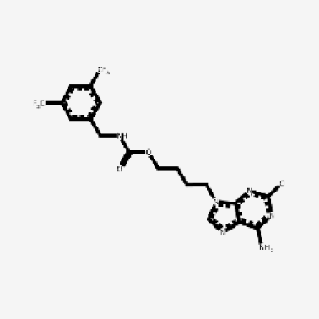 Nc1nc(Cl)nc2c1ncn2CCCCOC(=O)NCc1cc(C(F)(F)F)cc(C(F)(F)F)c1